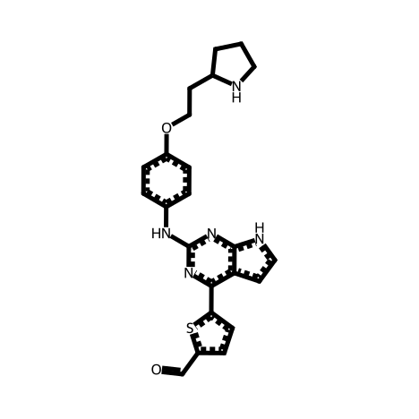 O=Cc1ccc(-c2nc(Nc3ccc(OCCC4CCCN4)cc3)nc3[nH]ccc23)s1